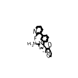 C[C@H]1OCCC2Oc3ccc(-c4cccnc4F)cc3[C@@]3(CSC(N)=N3)[C@@H]21